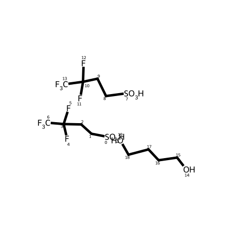 O=S(=O)(O)CCC(F)(F)C(F)(F)F.O=S(=O)(O)CCC(F)(F)C(F)(F)F.OCCCCO